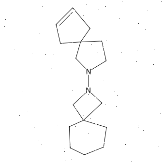 C1=CCC2(C1)CCN(N1CC3(CCCCC3)C1)C2